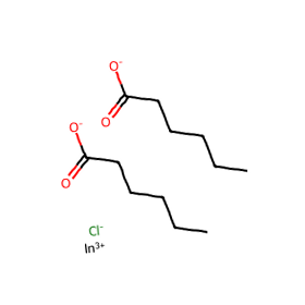 CCCCCC(=O)[O-].CCCCCC(=O)[O-].[Cl-].[In+3]